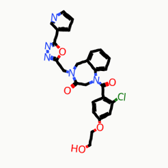 O=C1CN(C(=O)c2ccc(OCCO)cc2Cl)c2ccccc2CN1Cc1nnc(-c2cccnc2)o1